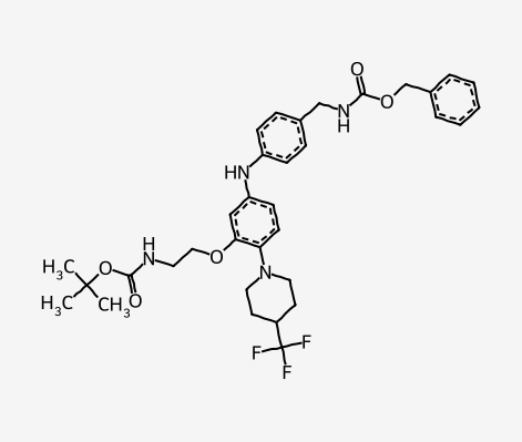 CC(C)(C)OC(=O)NCCOc1cc(Nc2ccc(CNC(=O)OCc3ccccc3)cc2)ccc1N1CCC(C(F)(F)F)CC1